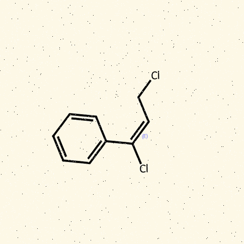 ClC/C=C(/Cl)c1ccccc1